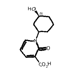 O=C(O)c1cccn(C2CCC[C@H](O)C2)c1=O